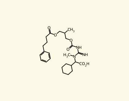 CC(COC(=O)CCCc1ccccc1)COC(=O)NC(=N)N(C)C(C(=O)O)C1CCCCC1